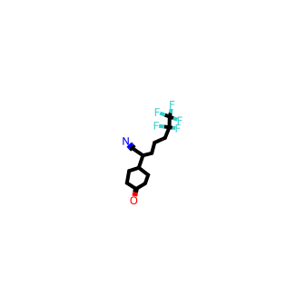 N#CC(CCCC(F)(F)C(F)(F)F)C1CCC(=O)CC1